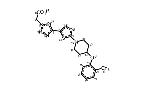 O=C(O)Cn1nnc(-c2nnc(N3CCC(Oc4ccccc4C(F)(F)F)CC3)s2)n1